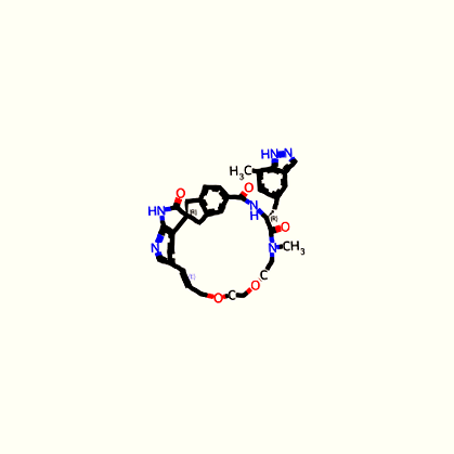 Cc1cc(C[C@H]2NC(=O)c3ccc4c(c3)C[C@@]3(C4)C(=O)Nc4ncc(cc43)/C=C/COCCOCCN(C)C2=O)cc2cn[nH]c12